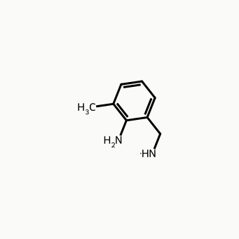 Cc1cccc(C[NH])c1N